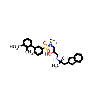 Cc1c(C(=O)O)cccc1-c1cccc(S(=O)(=O)N(C)C[C@H](O)CNC(C)(C)CC2Cc3ccccc3C2)c1